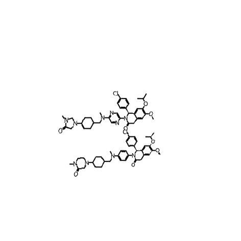 COc1cc2c(cc1OC(C)C)[C@H](c1ccc(Cl)cc1)N(c1ccc(N(C)CC3CCC(N4CCN(C)C(=O)C4)CC3)cc1)C(=O)C2.COc1cc2c(cc1OC(C)C)[C@H](c1ccc(Cl)cc1)N(c1cnc(N(C)CC3CCC(N4CC(=O)N(C)C4)CC3)cn1)C(=O)C2